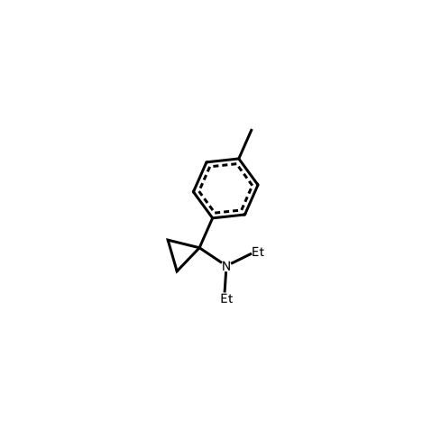 CCN(CC)C1(c2ccc(C)cc2)CC1